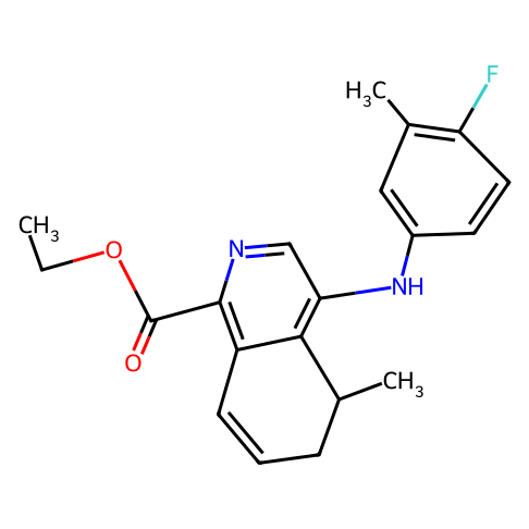 CCOC(=O)c1ncc(Nc2ccc(F)c(C)c2)c2c1C=CCC2C